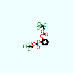 O=C(OCC(Cl)(Cl)Cl)Oc1c[c]ccc1OC(=O)OCC(Cl)(Cl)Cl